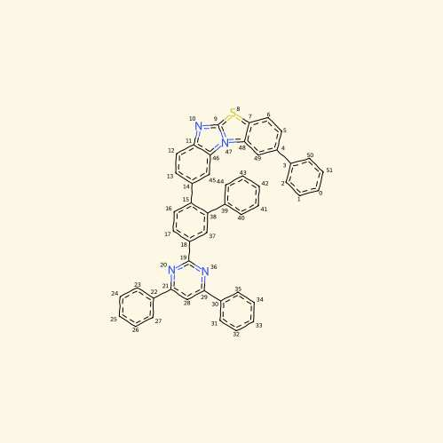 c1ccc(-c2ccc3sc4nc5ccc(-c6ccc(-c7nc(-c8ccccc8)cc(-c8ccccc8)n7)cc6-c6ccccc6)cc5n4c3c2)cc1